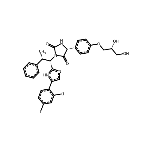 C[C@@H](c1ccccc1)[C@@H](c1ncc(-c2ccc(I)cc2Cl)[nH]1)N1C(=O)N[C@H](c2ccc(OC[C@H](O)CO)cc2)C1=O